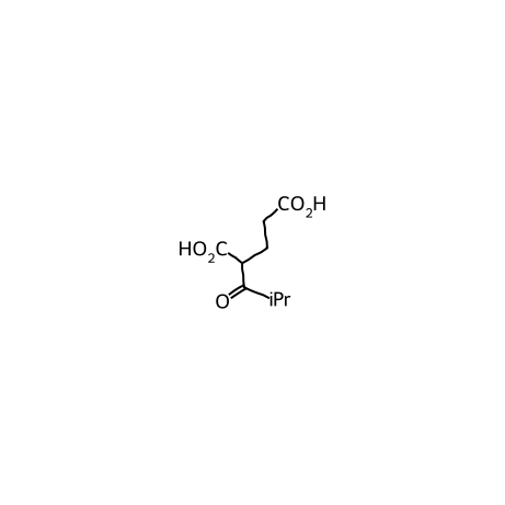 CC(C)C(=O)C(CCC(=O)O)C(=O)O